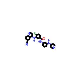 N#Cc1ccc2nccc(Nc3cc(C(=O)Nc4cccc(Nc5ccncc5)c4)ccc3F)c2c1